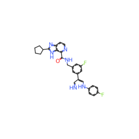 N=C/C(=C\Nc1ccc(F)cc1)c1cc(F)cc(CNC(=O)c2nccc3nc(C4CCCC4)[nH]c23)c1